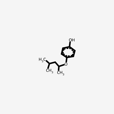 CC(C)CC(C)Oc1ccc(O)cc1